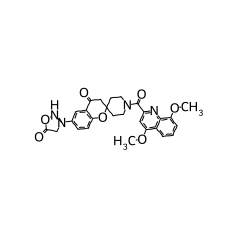 COc1cc(C(=O)N2CCC3(CC2)CC(=O)c2cc(N4CC(=O)ON4)ccc2O3)nc2c(OC)cccc12